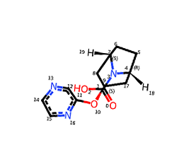 O=C(O)N1[C@@H]2CC[C@H]1C[C@H](Oc1cnccn1)C2